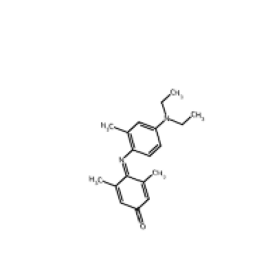 CCN(CC)c1ccc(N=C2C(C)=CC(=O)C=C2C)c(C)c1